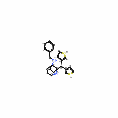 c1ccc(CNC2C3CCN(CC3)C2C(c2ccsc2)c2ccsc2)cc1